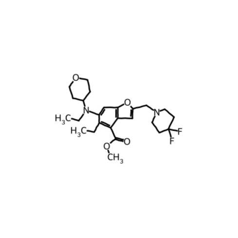 CCc1c(N(CC)C2CCOCC2)cc2oc(CN3CCC(F)(F)CC3)cc2c1C(=O)OC